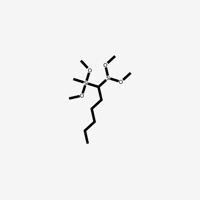 CCCCCC([Si](OC)OC)[Si](C)(OC)OC